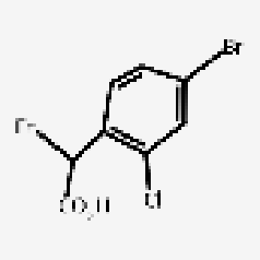 CCC(C(=O)O)c1ccc(Br)cc1Cl